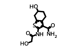 NC(=O)c1c(NC(=O)CO)sc2c1CCC(O)C2